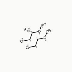 CCCOCCCl.CCCOCCCl.O